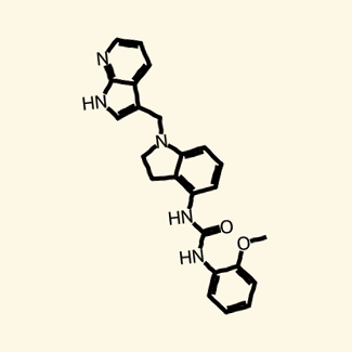 COc1ccccc1NC(=O)Nc1cccc2c1CCN2Cc1c[nH]c2ncccc12